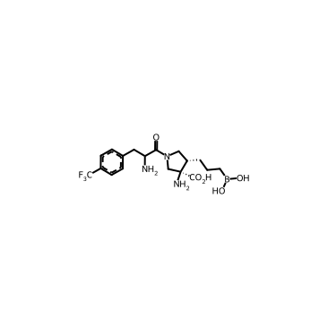 NC(Cc1ccc(C(F)(F)F)cc1)C(=O)N1C[C@H](CCCB(O)O)[C@](N)(C(=O)O)C1